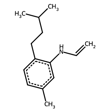 C=CNc1cc(C)ccc1CCC(C)C